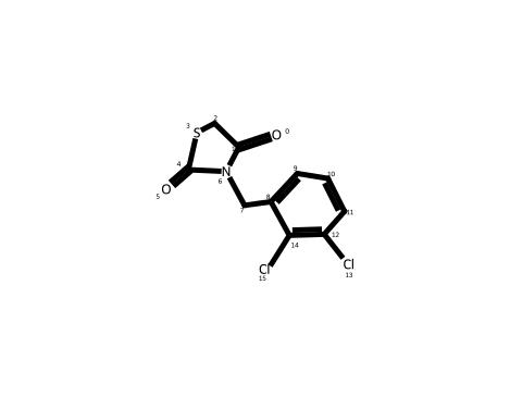 O=C1CSC(=O)N1Cc1cccc(Cl)c1Cl